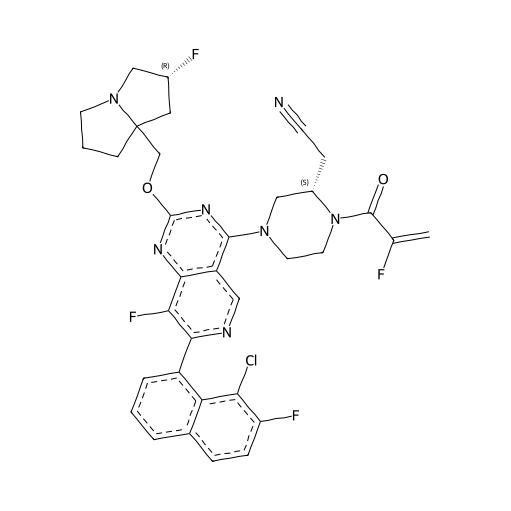 C=C(F)C(=O)N1CCN(c2nc(OCC34CCCN3C[C@H](F)C4)nc3c(F)c(-c4cccc5ccc(F)c(Cl)c45)ncc23)C[C@@H]1CC#N